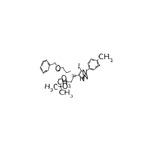 Cc1ccc(-n2nnc([C@@H](CCCOCc3ccccc3)CC(=O)OC(C)(C)C)c2I)cc1